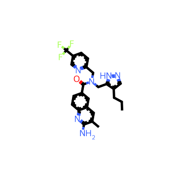 CCCc1cn[nH]c1CN(Cc1ccc(C(F)(F)F)cn1)C(=O)c1ccc2nc(N)c(C)cc2c1